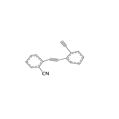 C#Cc1ccccc1C#Cc1ccccc1C#N